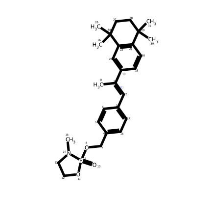 C/C(=C\c1ccc(COP2(=O)OCCN2C)cc1)c1ccc2c(c1)C(C)(C)CCC2(C)C